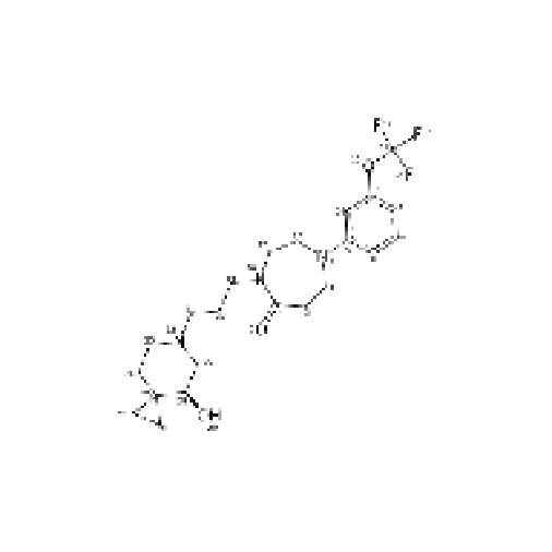 O=C1CCN(c2cccc(OC(F)(F)F)c2)CCN1CCCN1CCC2(CC2)[C@H](O)C1